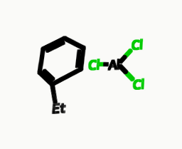 [CH2]Cc1ccccc1.[Cl][Al]([Cl])[Cl]